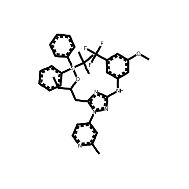 CCC(Cc1nc(Nc2cc(OC)cc(C(F)(F)F)c2)nn1-c1ccnc(C)c1)O[Si](c1ccccc1)(c1ccccc1)C(C)(C)C